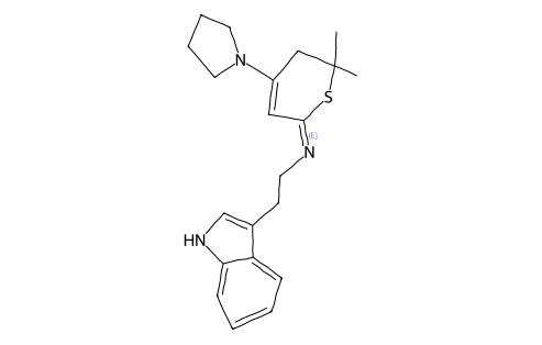 CC1(C)CC(N2CCCC2)=C/C(=N\CCc2c[nH]c3ccccc23)S1